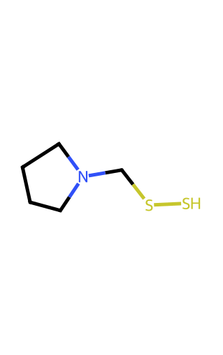 SSCN1CCCC1